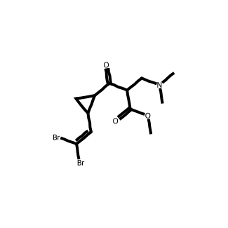 COC(=O)C(CN(C)C)C(=O)C1CC1C=C(Br)Br